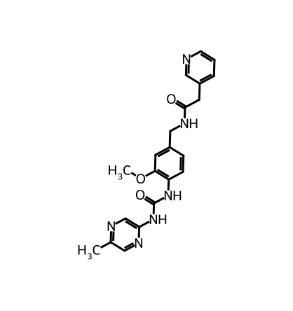 COc1cc(CNC(=O)Cc2cccnc2)ccc1NC(=O)Nc1cnc(C)cn1